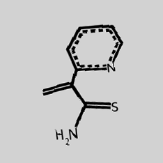 C=C(C(N)=S)c1ccccn1